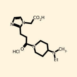 CCN(C)C1CCN(C(=O)CCc2nccn2CC(=O)O)CC1.Cl